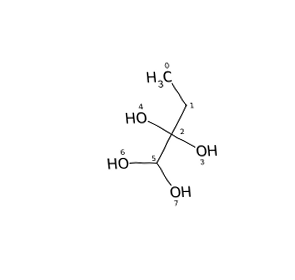 CCC(O)(O)C(O)O